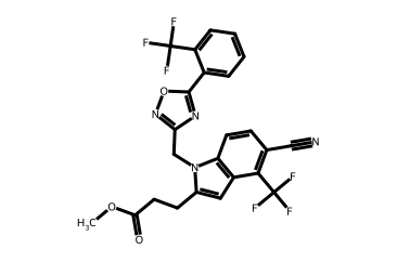 COC(=O)CCc1cc2c(C(F)(F)F)c(C#N)ccc2n1Cc1noc(-c2ccccc2C(F)(F)F)n1